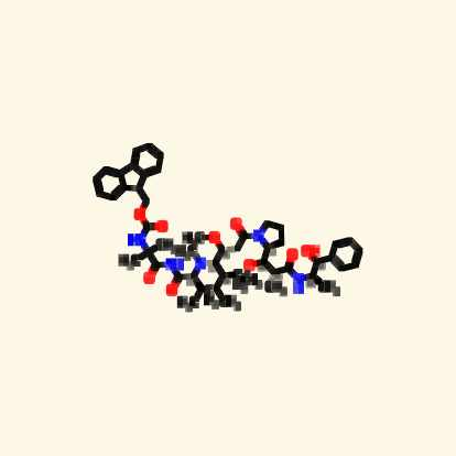 CC[C@H](C)[C@@H]([C@@H](CC(=O)N1CCC[C@H]1[C@H](OC)[C@@H](C)C(=O)N[C@H](C)[C@@H](O)c1ccccc1)OC)N(C)[C@H](C(=O)NC(=O)C(C)(C)NC(=O)OCC1c2ccccc2-c2ccccc21)C(C)C